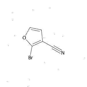 N#Cc1ccoc1Br